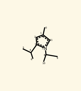 Cc1cc(C(C)C)n(C(C)C)c1